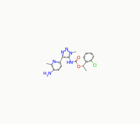 Cc1nc(-c2nnn(C)c2NC(=O)OC(C)c2ccccc2Cl)ccc1N